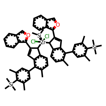 Cc1ccc2c(c1-c1cc(C)c([Si](C)(C)C)c(C)c1)C=C(c1occ3ccccc13)[CH]2[Zr]([Cl])([Cl])([CH]1C(c2occ3ccccc23)=Cc2c1ccc(C)c2-c1cc(C)c([Si](C)(C)C)c(C)c1)=[Si](C)C